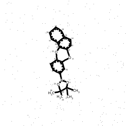 CC1(C)OB(c2ccc3c(c2)Oc2ccc4ccccc4c2O3)OC1(C)C